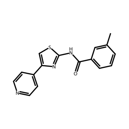 Cc1cccc(C(=O)Nc2nc(-c3ccncc3)cs2)c1